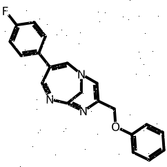 Fc1ccc(C2=CN3C=C(COc4ccccc4)N=C(C3)N=C2)cc1